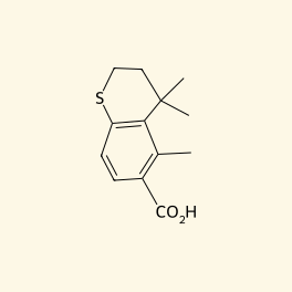 Cc1c(C(=O)O)ccc2c1C(C)(C)CCS2